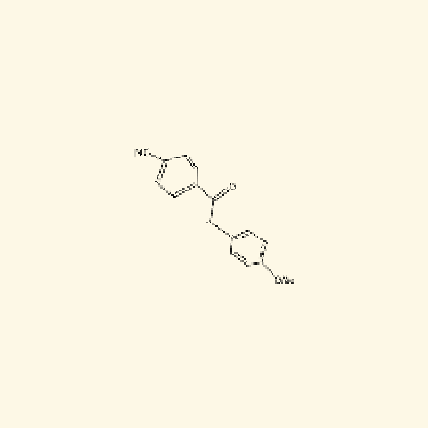 COc1ccc([CH]C(=O)c2ccc(C#N)cc2)cc1